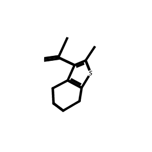 C=C(C)c1c(C)sc2c1CCCC2